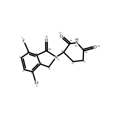 CCc1ccc(F)c2c1CN(C1CCC(=O)NC1=O)C2=O